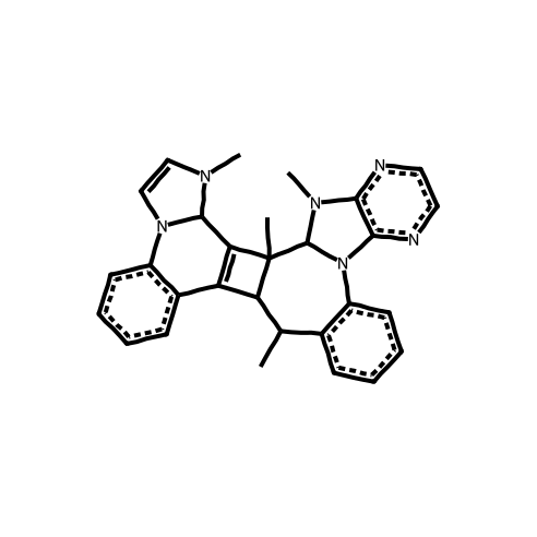 CC1c2ccccc2N2c3nccnc3N(C)C2C2(C)C3=C(c4ccccc4N4C=CN(C)C34)C12